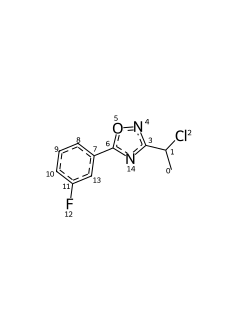 CC(Cl)c1noc(-c2cccc(F)c2)n1